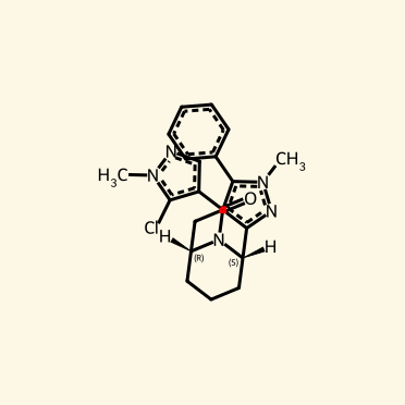 Cn1ncc(C(=O)N2[C@@H]3CCC[C@H]2c2nn(C)c(-c4ccccc4)c2C3)c1Cl